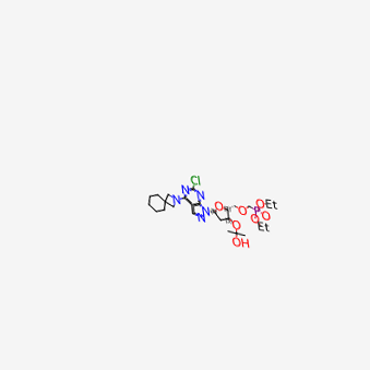 CCOP(=O)(COC[C@H]1O[C@@H](n2ncc3c(N4CC5(CCCCC5)C4)nc(Cl)nc32)C[C@@H]1OC(C)(C)O)OCC